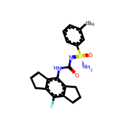 CC(C)(C)c1cccc([S@@](N)(=O)=NC(=O)Nc2c3c(c(F)c4c2CCC4)CCC3)c1